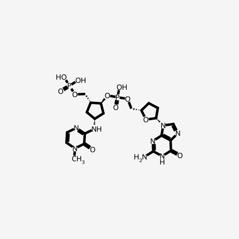 Cn1ccnc(N[C@@H]2C[C@H](COP(=O)(O)O)[C@@H](OP(=O)(O)OC[C@@H]3CC[C@H](n4cnc5c(=O)[nH]c(N)nc54)O3)C2)c1=O